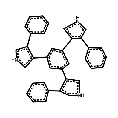 c1ccc(-c2c[nH]cc2-c2cc(-c3c[nH]cc3-c3ccccc3)cc(-c3c[nH]cc3-c3ccccc3)c2)cc1